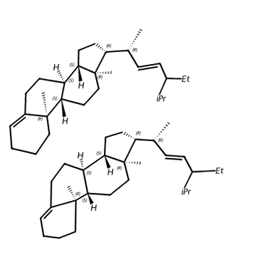 CCC(C=C[C@@H](C)[C@H]1CC[C@H]2[C@@H]3CCC4=CCCC[C@]4(C)[C@H]3CC[C@]12C)C(C)C.CCC(C=C[C@@H](C)[C@H]1CC[C@H]2[C@@H]3CCC4=CCCC[C@]4(C)[C@H]3CC[C@]12C)C(C)C